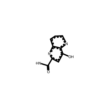 [NH]C(=O)c1cc(O)c2ncccc2n1